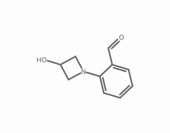 O=Cc1ccccc1N1CC(O)C1